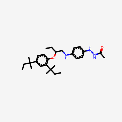 CCC(CNc1ccc(NNC(C)=O)cc1)Oc1ccc(C(C)(C)CC)cc1C(C)(C)CC